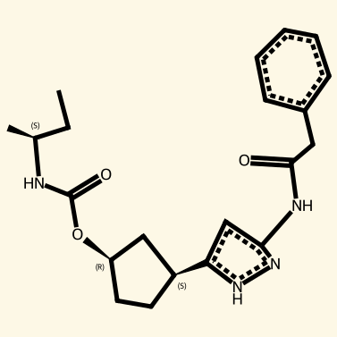 CC[C@H](C)NC(=O)O[C@@H]1CC[C@H](c2cc(NC(=O)Cc3ccccc3)n[nH]2)C1